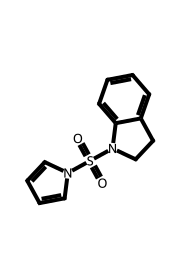 O=S(=O)(N1CCc2ccccc21)n1cccc1